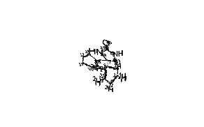 [2H]c1c([2H])c([2H])c([C@]2(c3ccccc3)NC(=O)NC2=O)c([2H])c1[2H]